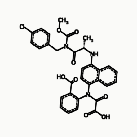 COC(=O)N(Cc1ccc(Cl)cc1)C(=O)[C@H](C)Nc1ccc(N(C(=O)C(=O)O)c2ccccc2C(=O)O)c2ccccc12